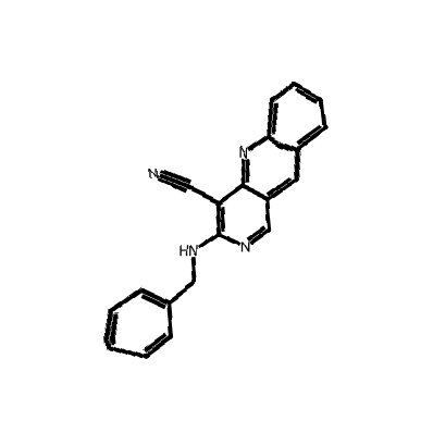 N#Cc1c(NCc2ccccc2)ncc2cc3ccccc3nc12